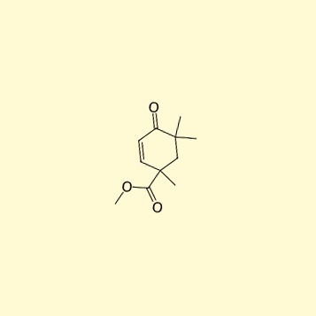 COC(=O)C1(C)C=CC(=O)C(C)(C)C1